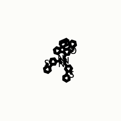 c1ccc2c(c1)-c1c(-c3nc(-c4ccc5sc6ccccc6c5c4)nc(-c4ccc5sc6ccccc6c5c4)n3)cc3oc4ccccc4c3c1C21C2CC3CC(C2)CC1C3